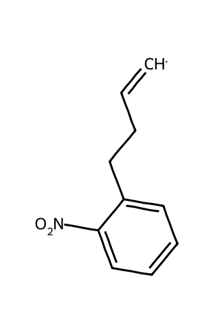 [CH]=CCCc1ccccc1[N+](=O)[O-]